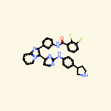 O=C(Nc1cccc(-c2nc3ccccn3c2-c2ccnc(Nc3ccc(C4CCNC4)cc3)n2)c1)c1cccc(F)c1F